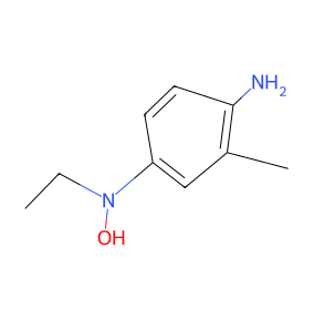 CCN(O)c1ccc(N)c(C)c1